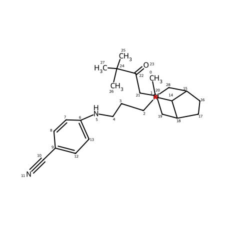 CN(CCCNc1ccc(C#N)cc1)C1C2CCC1CN(CC(=O)C(C)(C)C)C2